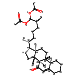 CC(=O)OC(OC(C)=O)C(C)CCC[C@@H](C)[C@H]1CC[C@H]2[C@@H]3C(=O)C=C4CCCC[C@]4(C)[C@H]3CC[C@]12C